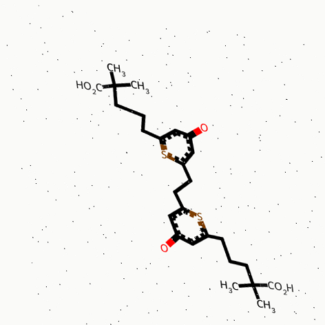 CC(C)(CCCc1cc(=O)cc(CCc2cc(=O)cc(CCCC(C)(C)C(=O)O)s2)s1)C(=O)O